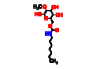 CCCCCCCNC(=O)OC[C@H]1OC(O)[C@H](OC)[C@@H](O)[C@@H]1O